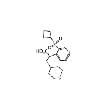 O=C(O)[C@H](CC1CCOCC1)c1ccccc1S(=O)(=O)C1CCC1